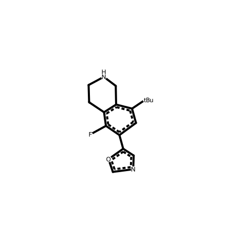 CC(C)(C)c1cc(-c2cnco2)c(F)c2c1CNCC2